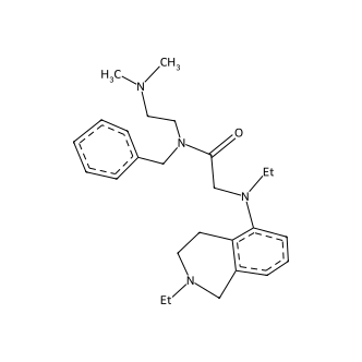 CCN1CCc2c(cccc2N(CC)CC(=O)N(CCN(C)C)Cc2ccccc2)C1